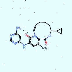 Cc1cc(Nc2cc(N)ncn2)c(=O)n2c1C(=O)NC(C1CC1)CCC/C=C\2